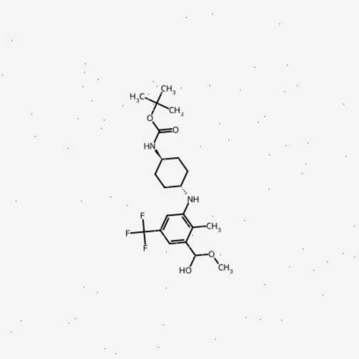 COC(O)c1cc(C(F)(F)F)cc(N[C@H]2CC[C@H](NC(=O)OC(C)(C)C)CC2)c1C